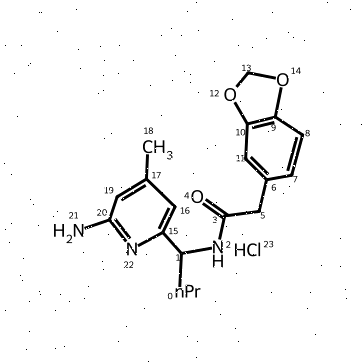 CCCC(NC(=O)Cc1ccc2c(c1)OCO2)c1cc(C)cc(N)n1.Cl